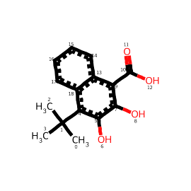 CC(C)(C)c1c(O)c(O)c(C(=O)O)c2ccccc12